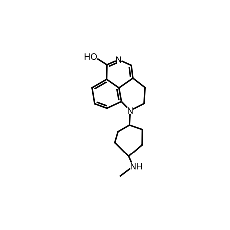 CNC1CCC(N2CCc3cnc(O)c4cccc2c34)CC1